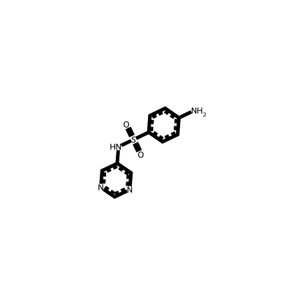 Nc1ccc(S(=O)(=O)Nc2cncnc2)cc1